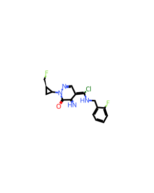 N=C1C(=O)N(C2C[C@H]2CF)N=C/C1=C(\Cl)NCc1ccccc1F